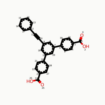 O=C(O)c1ccc(-c2cc(C#Cc3ccccc3)cc(-c3ccc(C(=O)O)cc3)c2)cc1